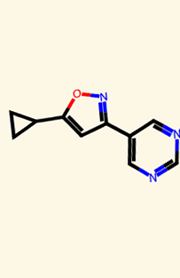 c1ncc(-c2cc(C3CC3)on2)cn1